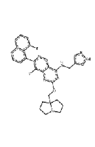 Fc1c(-c2cccc3cccc(F)c23)ncc2c(NCc3cn[nH]c3)nc(OCC34CCCN3CCC4)nc12